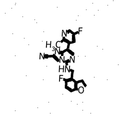 Cc1ncc(F)cc1-c1cnc(NCc2c(F)ccc3c2CCO3)n2cc(C#N)nc12